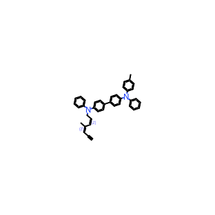 C#C/C=C(C)\C=C/CN(c1ccccc1)c1ccc(-c2ccc(N(c3ccccc3)c3ccc(C)cc3)cc2)cc1